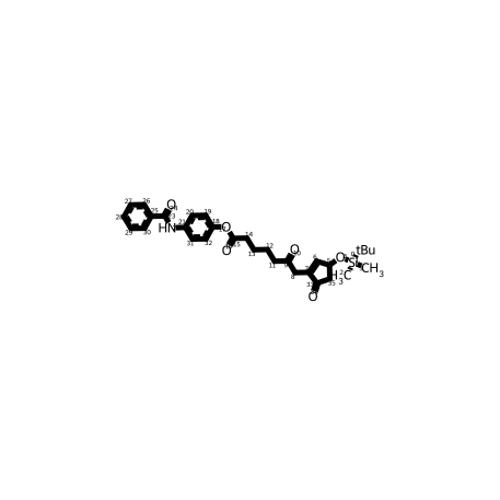 CC(C)(C)[Si](C)(C)OC1C=C(CC(=O)CCCCC(=O)Oc2ccc(NC(=O)c3ccccc3)cc2)C(=O)C1